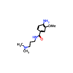 COc1cc(C(=O)NCCCN(C)C)ccc1N